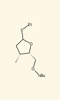 CCCCOC[C@H]1OC(SCC)C[C@H]1C